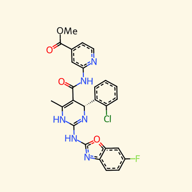 COC(=O)c1ccnc(NC(=O)C2=C(C)NC(Nc3nc4ccc(F)cc4o3)=N[C@H]2c2ccccc2Cl)c1